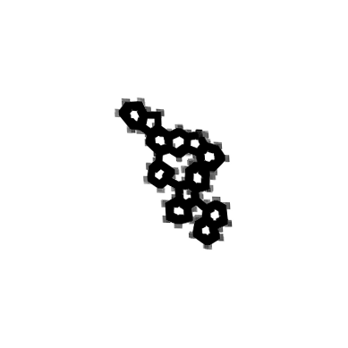 C1=C(c2cc3c(c4c2C=C2c5ccccc5SC2C4)Cc2ccccc2-3)C=C(c2c3ccccc3c(-c3cccc4ccccc34)c3ccccc23)CC1